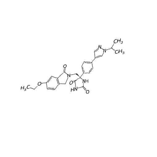 CCOc1ccc2c(c1)C(=O)N(C[C@@]1(c3ccc(-c4cnn(C(C)C)c4)cc3)NC(=O)NC1=O)C2